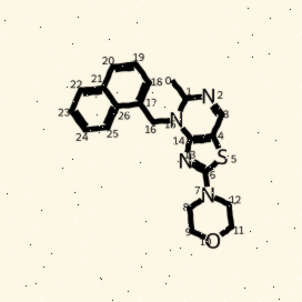 CC1N=Cc2sc(N3CCOCC3)nc2N1Cc1cccc2ccccc12